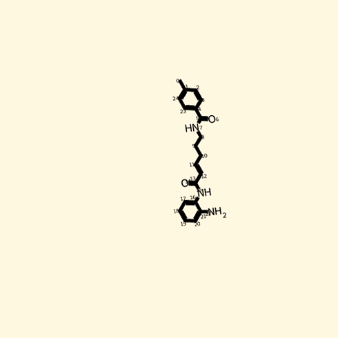 Cc1ccc(C(=O)NCCCC=CC(=O)Nc2ccccc2N)cc1